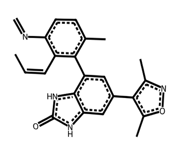 C=Nc1ccc(C)c(-c2cc(-c3c(C)noc3C)cc3[nH]c(=O)[nH]c23)c1/C=C\C